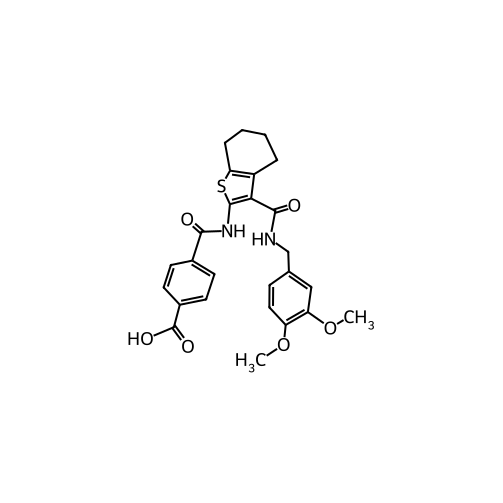 COc1ccc(CNC(=O)c2c(NC(=O)c3ccc(C(=O)O)cc3)sc3c2CCCC3)cc1OC